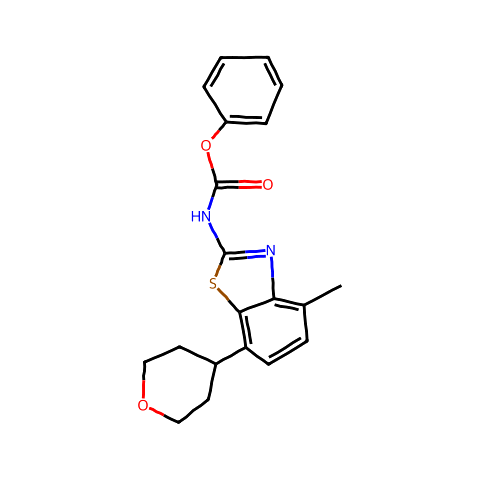 Cc1ccc(C2CCOCC2)c2sc(NC(=O)Oc3ccccc3)nc12